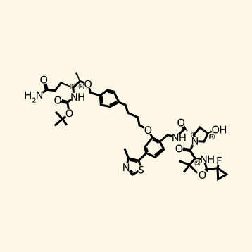 Cc1ncsc1-c1ccc(CNC(=O)[C@@H]2C[C@@H](O)CN2C(=O)[C@@H](NC(=O)C2(F)CC2)C(C)(C)C)c(OCCCCc2ccc(CO[C@H](C)[C@H](CCC(N)=O)NC(=O)OC(C)(C)C)cc2)c1